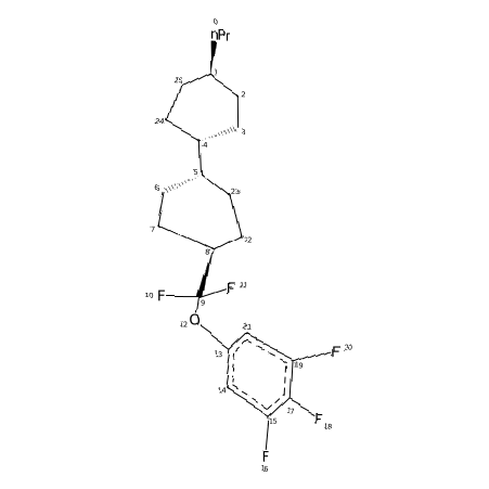 CCC[C@H]1CC[C@H]([C@H]2CC[C@H](C(F)(F)Oc3cc(F)c(F)c(F)c3)CC2)CC1